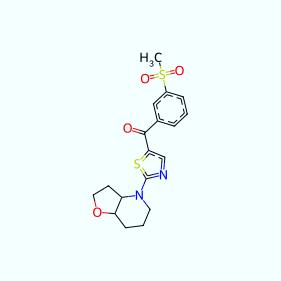 CS(=O)(=O)c1cccc(C(=O)c2cnc(N3CCCC4OCCC43)s2)c1